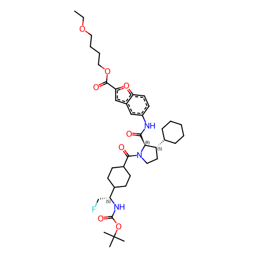 CCOCCCCOC(=O)c1cc2cc(NC(=O)[C@H]3[C@H](C4CCCCC4)CCN3C(=O)C3CCC([C@@H](CF)NC(=O)OC(C)(C)C)CC3)ccc2o1